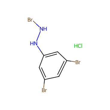 BrNNc1cc(Br)cc(Br)c1.Cl